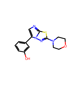 Oc1cccc(-c2cnc3sc(N4CCOCC4)nn23)c1